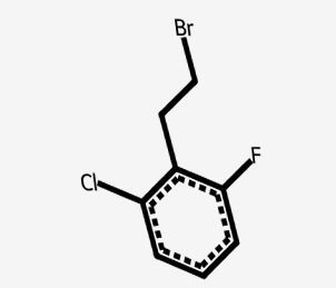 Fc1cccc(Cl)c1CCBr